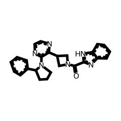 O=C(c1nc2ccccc2[nH]1)N1CC(c2nccnc2N2CCCC2c2ccccc2)C1